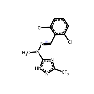 CN(/N=C/c1c(Cl)cccc1Cl)c1nc(C(F)(F)F)n[nH]1